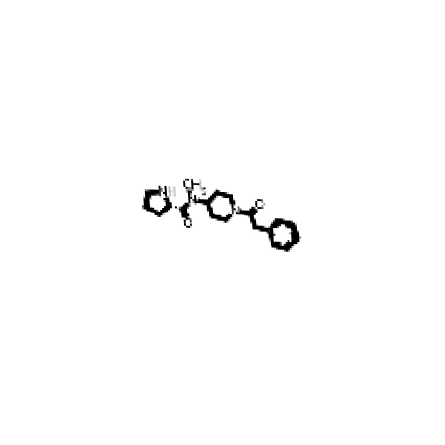 CN(C(=O)[C@@H]1CCCN1)C1CCN(C(=O)Cc2ccccc2)CC1